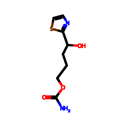 NC(=O)OCCCC(O)c1nccs1